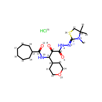 CN1/C(=N/NC(=O)C(=O)C(NC(=O)C2CCCCCC2)C2CCOCC2)SCC1(C)C.Cl